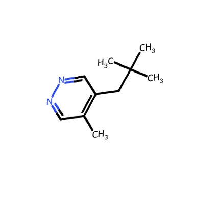 Cc1cnncc1CC(C)(C)C